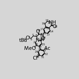 COc1cn(C(CCOC(C)(C)C)C(=O)Nc2ccc3c(c2)CCNC3=O)c(=O)cc1-c1cc(Cl)ccc1C(C)=O